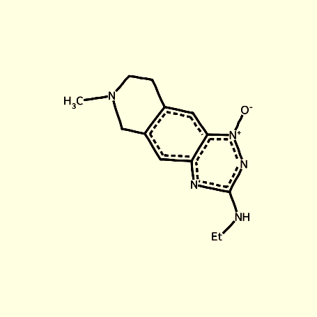 CCNc1nc2cc3c(cc2[n+]([O-])n1)CCN(C)C3